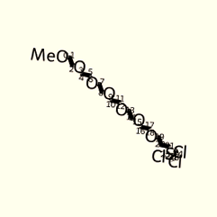 COCCOCCOCCOCCOCCOCCOCCC[Si](Cl)(Cl)Cl